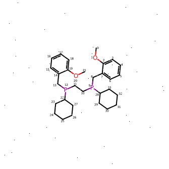 COc1ccccc1CP(CCP(Cc1ccccc1OC)C1CCCCC1)C1CCCCC1